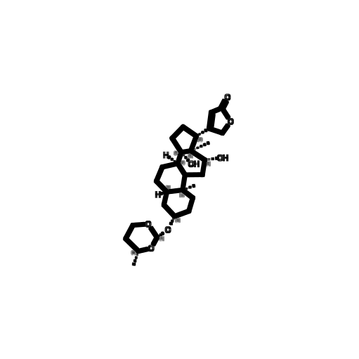 C[C@@H]1CCO[C@H](O[C@H]2CC[C@]3(C)C4C[C@@H](O)[C@]5(C)[C@@H](C6=CC(=O)OC6)CC[C@]5(O)[C@@H]4CC[C@@H]3C2)O1